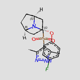 Cc1n[nH]c(C)c1S(=O)(=O)CN1[C@@H]2CC[C@H]1C[C@H](Oc1ccc(F)cc1)C2